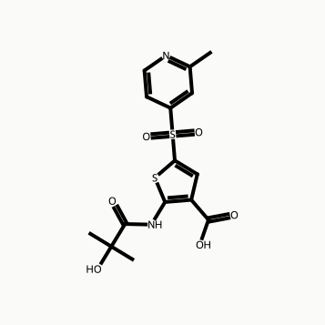 Cc1cc(S(=O)(=O)c2cc(C(=O)O)c(NC(=O)C(C)(C)O)s2)ccn1